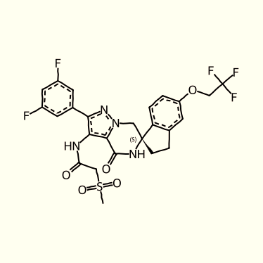 CS(=O)(=O)CC(=O)Nc1c(-c2cc(F)cc(F)c2)nn2c1C(=O)N[C@]1(CCc3cc(OCC(F)(F)F)ccc31)C2